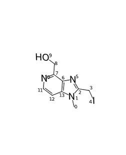 Cn1c(CI)nc2c(CO)nccc21